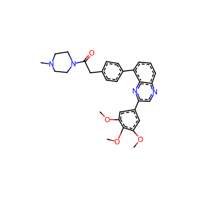 COc1cc(-c2cnc3cccc(-c4ccc(CC(=O)N5CCN(C)CC5)cc4)c3n2)cc(OC)c1OC